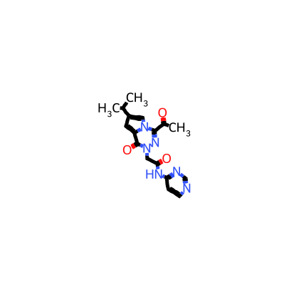 CC(=O)c1nn(CC(=O)Nc2ccncn2)c(=O)c2cc(C(C)C)cn12